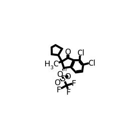 CC1(C2CCCC2)C(=O)c2c(ccc(Cl)c2Cl)[C@@H]1OS(=O)(=O)C(F)(F)F